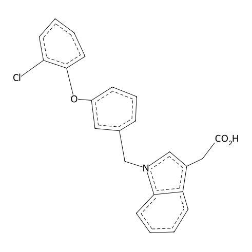 O=C(O)Cc1cn(Cc2cccc(Oc3ccccc3Cl)c2)c2ccccc12